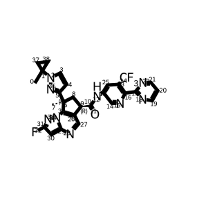 CC1(n2ccc([C@@]3(C)C[C@@H](C(=O)Nc4cnc(-c5ncccn5)c(C(F)(F)F)c4)c4cnc5cc(F)nn5c43)n2)CC1